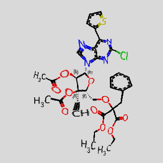 C#C[C@@]1(OC(C)=O)[C@@H](COC(Cc2ccccc2)(C(=O)OCC)C(=O)OCC)O[C@@H](n2cnc3c(-c4cccs4)nc(Cl)nc32)[C@@H]1OC(C)=O